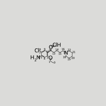 CCOc1cc(N)c(Cl)cc1C(=O)CCCCN1CCCCC1.Cl